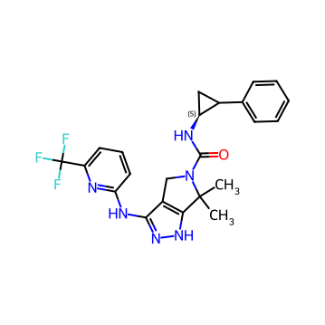 CC1(C)c2[nH]nc(Nc3cccc(C(F)(F)F)n3)c2CN1C(=O)N[C@H]1CC1c1ccccc1